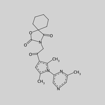 Cc1cncc(-n2c(C)cc(C(=O)CN3C(=O)OC4(CCCCC4)C3=O)c2C)n1